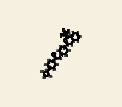 O=C(Cc1ccccc1OC(F)(F)F)N1CCN(CC(=O)N2CCN(C3CCC3)CC2)CC1